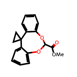 COC(=O)C1Oc2ccccc2C2(CC2)c2ccccc2O1